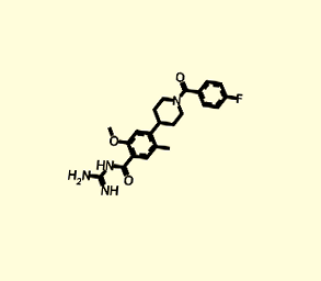 COc1cc(C2CCN(C(=O)c3ccc(F)cc3)CC2)c(C)cc1C(=O)NC(=N)N